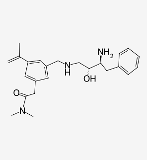 C=C(C)c1cc(CNC[C@@H](O)[C@@H](N)Cc2ccccc2)cc(CC(=O)N(C)C)c1